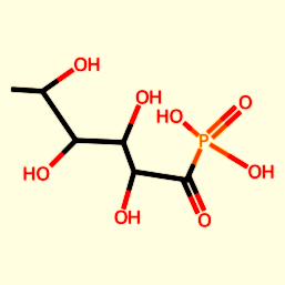 CC(O)C(O)C(O)C(O)C(=O)P(=O)(O)O